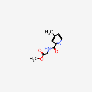 COC(=O)CNC(=O)c1cc(C)ccn1